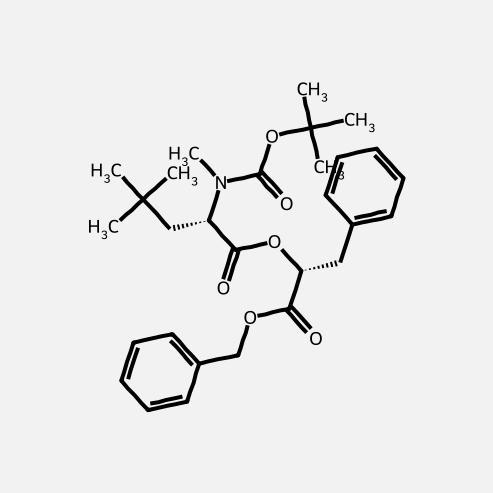 CN(C(=O)OC(C)(C)C)[C@@H](CC(C)(C)C)C(=O)O[C@H](Cc1ccccc1)C(=O)OCc1ccccc1